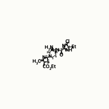 CCOC(=O)c1sc(N2CC[C@H](NC(=O)c3nc(Cl)c(CC)[nH]3)[C@@H](N)C2)nc1C